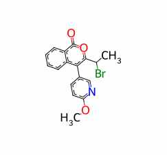 COc1ccc(-c2c(C(C)Br)oc(=O)c3ccccc23)cn1